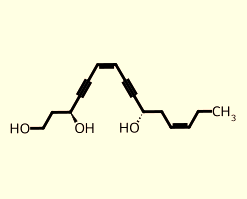 CC/C=C\C[C@H](O)C#C/C=C\C#C[C@@H](O)CCO